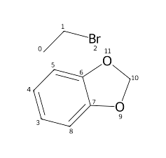 CCBr.c1ccc2c(c1)OCO2